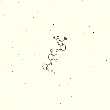 Cc1nc2c(OCc3c(Cl)ccc(/N=C4\CCCN4C)c3Cl)cccn2c1Br